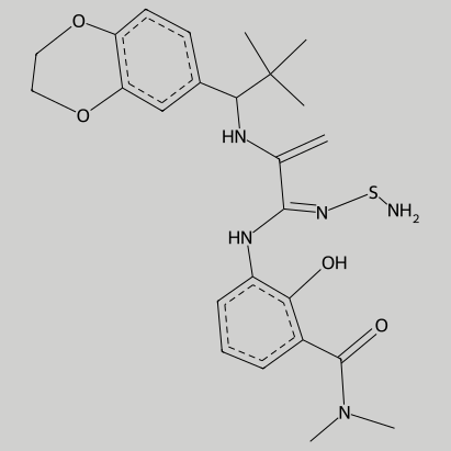 C=C(NC(c1ccc2c(c1)OCCO2)C(C)(C)C)/C(=N\SN)Nc1cccc(C(=O)N(C)C)c1O